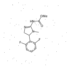 COC(=O)NC1=NCC(c2c(F)cccc2F)N1C